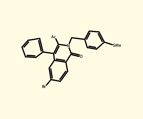 CSc1ccc(Cn2c(C(C)=O)c(-c3ccccc3)c3cc(Br)ccc3c2=O)cc1